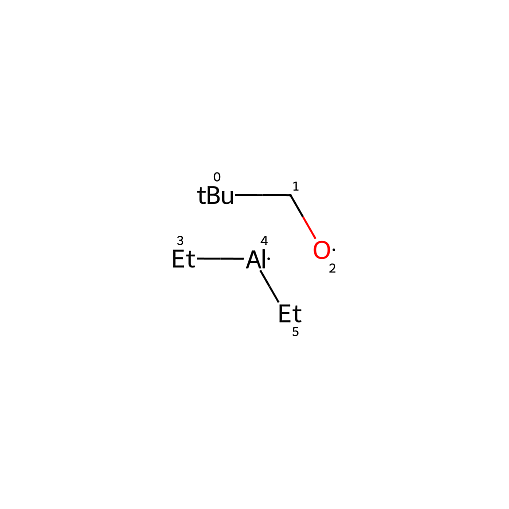 CC(C)(C)C[O].C[CH2][Al][CH2]C